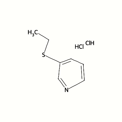 CCSc1cccnc1.Cl.Cl